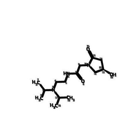 CC(C)N(CCNC(=O)CN1C[C@H](O)CC1=O)C(C)C